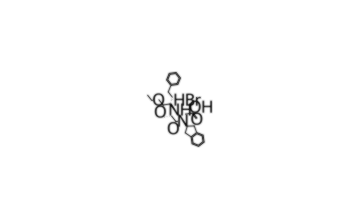 Br.CCOC(=O)[C@H](CCc1ccccc1)N[C@@H](C)C(=O)N(CC(=O)O)C1Cc2ccccc2C1